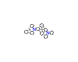 CC1(C)c2ccccc2-c2cccc(N(c3ccccc3)c3ccc4c(c3)-c3ccccc3C43c4ccccc4-c4ccc(N(c5ccccc5)c5ccccc5)cc43)c21